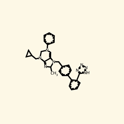 CC1N=C2C(=CN(c3ccccc3)CN2CC2CC2)N1Cc1ccc(-c2ccccc2-c2nnn[nH]2)cc1